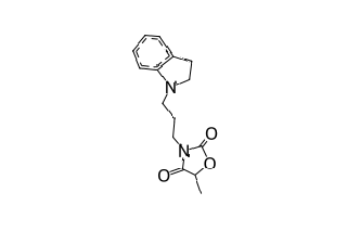 CC1OC(=O)N(CCCN2CCc3ccccc32)C1=O